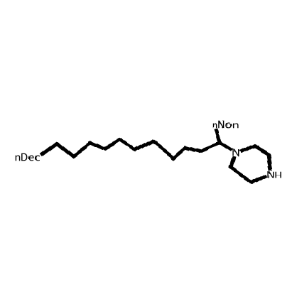 CCCCCCCCCCCCCCCCCCCCC(CCCCCCCCC)N1CCNCC1